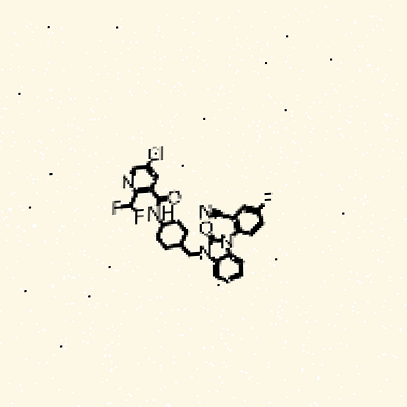 N#Cc1cc(F)ccc1-n1c(=O)n(CC2CCC(NC(=O)c3cc(Cl)cnc3C(F)F)CC2)c2ccccc21